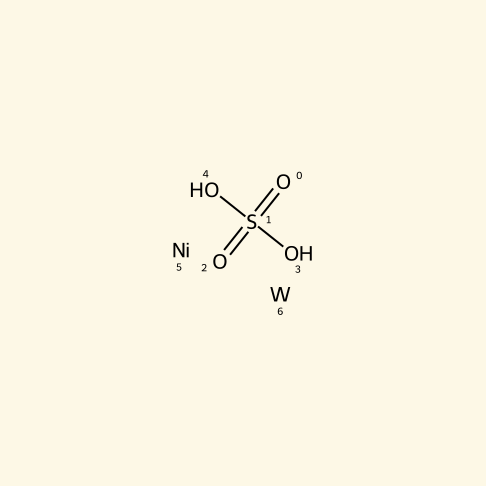 O=S(=O)(O)O.[Ni].[W]